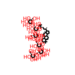 C[C@H](CC[C@@H](O[C@@H]1O[C@H](CO[C@@H]2O[C@H](CO)[C@@H](O)[C@H](O)[C@H]2O)[C@@H](O)[C@H](O)[C@H]1O[C@H]1O[C@@H](CO)[C@H](O)[C@@H](O)[C@@H]1O)C(C)(C)O)C1CC[C@@]2(C)C3CC=C4C(CC[C@H](O[C@@H]5O[C@H](CO)[C@@H](O)[C@H](O)[C@H]5O[C@H]5O[C@@H](CO[C@@H]6O[C@H](CO)[C@@H](O)[C@H](O)[C@H]6O)[C@H](O)[C@@H](O)[C@@H]5O)C4(C)C)[C@]3(C)[C@H](O)C[C@]12C